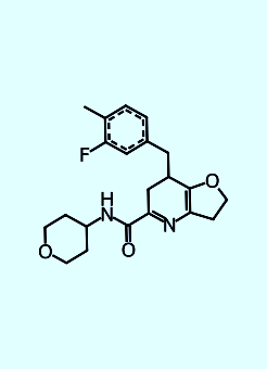 Cc1ccc(CC2CC(C(=O)NC3CCOCC3)=NC3=C2OCC3)cc1F